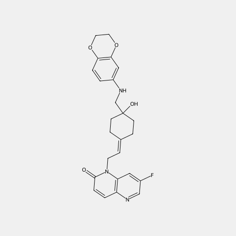 O=c1ccc2ncc(F)cc2n1CC=C1CCC(O)(CNc2ccc3c(c2)OCCO3)CC1